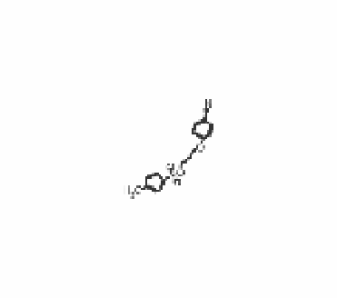 Cc1ccc(S(=O)(=O)OCCCOc2ccc(C#N)cc2)cc1